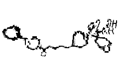 O=C(CCCCC1CCN([S+]([O-])C2(C(=O)NO)CCOCC2)CC1)N1CCN(c2ccccc2)CC1